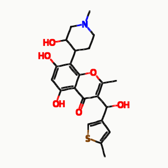 Cc1cc(C(O)c2c(C)oc3c(C4CCN(C)CC4O)c(O)cc(O)c3c2=O)cs1